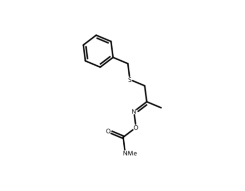 CNC(=O)ON=C(C)CSCc1ccccc1